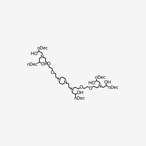 CCCCCCCCCCC(O)CN(CCOCCOCCN(CC(O)CCCCCCCCCC)CC(O)CCCCCCCCCC)CCN1CCN(CCOCCOCCN(CC(O)CCCCCCCCCC)CC(O)CCCCCCCCCC)CC1